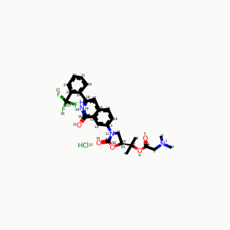 CN(C)CC(=O)OC(C)(C)[C@@H]1CN(c2ccc3cc(-c4ccccc4C(F)(F)F)[nH]c(=O)c3c2)C(=O)O1.Cl